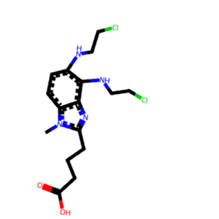 Cn1c(CCCC(=O)O)nc2c(NCCCl)c(NCCCl)ccc21